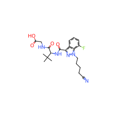 CC(C)(C)[C@H](NC(=O)c1nn(CCCCC#N)c2c(F)cccc12)C(=O)NCC(=O)O